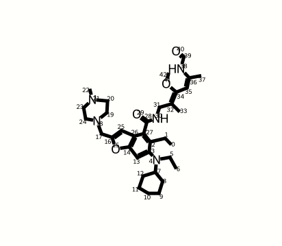 CCc1c(N(CC)C2CCCCC2)cc2oc(CN3CCN(C)CC3)cc2c1C(=O)NC/C(C)=C(/C=C(/C)NC=O)OC